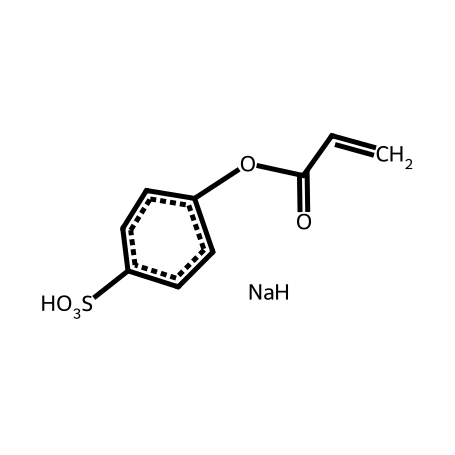 C=CC(=O)Oc1ccc(S(=O)(=O)O)cc1.[NaH]